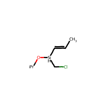 CC=C[SiH](CCl)OC(C)C